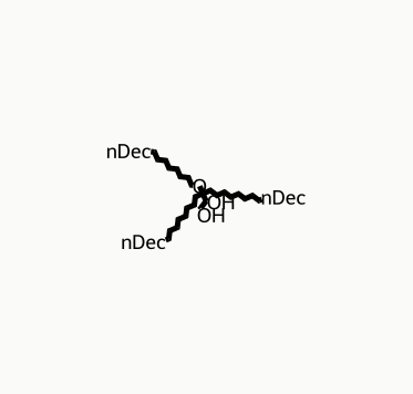 CCCCCCCCCCCCCCCCCCOC(CCCCCCCCCCCCCCCCCC)(CCCCCCCCCCCCCCCCCC)C(O)CO